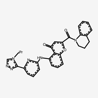 CC(C)n1cnnc1-c1cccc(Nc2cccc3oc(C(=O)N4CCCc5ccccc54)cc(=O)c23)n1